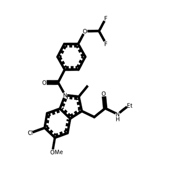 CCNC(=O)Cc1c(C)n(C(=O)c2ccc(OC(F)F)cc2)c2cc(Cl)c(OC)cc12